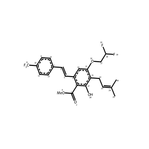 COC(=O)c1c(C=Cc2ccc(C(F)(F)F)cc2)cc(OCC(F)F)c(CC=C(C)C)c1O